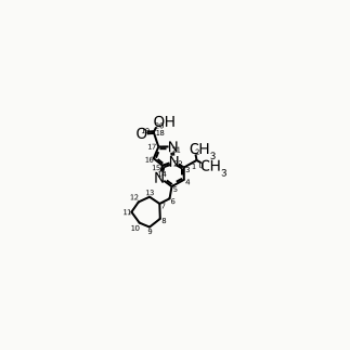 CC(C)c1cc(CC2CCCCCC2)nc2cc(C(=O)O)nn12